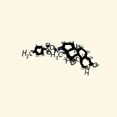 Cc1ccc(S(=O)(=O)O/N=C2\CCC3[C@@H]4CCC5=CC(=O)NCC[C@]5(C)C4C(=O)C[C@]23C)cc1